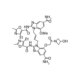 CCc1nc(C)oc1C(=O)Nc1nc2cc(C(N)=O)cc(OC)c2n1C/C=C/Cn1c(NC(=O)c2oc(C)nc2CC)nc2cc(C(N)=O)cc(OCC(=O)N3CC(O)C3)c21